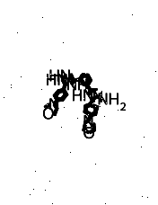 NN1C=C(c2cccc(C3=CNNC(c4ccc(N5CCOCC5)cc4)N3)c2)NC1c1ccc(N2CCOCC2)cc1